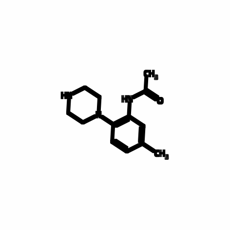 CC(=O)Nc1cc(C)ccc1N1CCNCC1